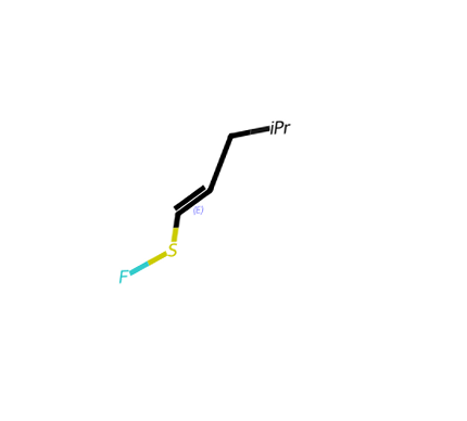 CC(C)C/C=C/SF